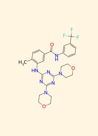 Cc1ccc(C(=O)Nc2cccc(C(F)(F)F)c2)cc1Nc1nc(N2CCOCC2)nc(N2CCOCC2)n1